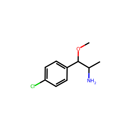 COC(c1ccc(Cl)cc1)C(C)N